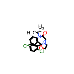 CC(C)N1C(=O)CN2CCOC2(c2ccccc2Cl)c2cc(Cl)ccc21